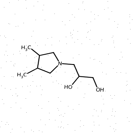 CC1CN(CC(O)CO)CC1C